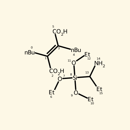 CCCCC(C(=O)O)=C(CCCC)C(=O)O.CCO[Si](OCC)(OCC)C(N)CC